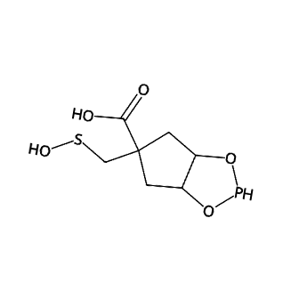 O=C(O)C1(CSO)CC2OPOC2C1